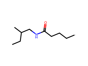 [CH2]CCCC(=O)NCC(C)CC